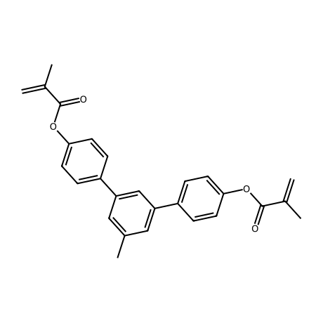 C=C(C)C(=O)Oc1ccc(-c2cc(C)cc(-c3ccc(OC(=O)C(=C)C)cc3)c2)cc1